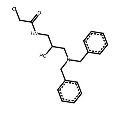 O=C(CCl)NCC(O)CN(Cc1ccccc1)Cc1ccccc1